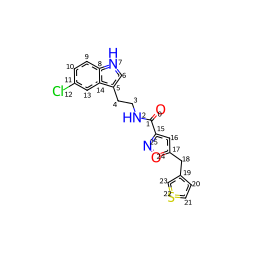 O=C(NCCc1c[nH]c2ccc(Cl)cc12)c1cc(Cc2ccsc2)on1